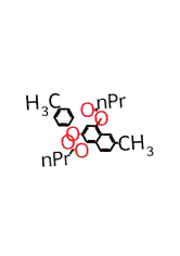 CCCC(=O)Oc1cc(Oc2ccc(C)cc2)c(OC(=O)CCC)c2ccc(C)cc12